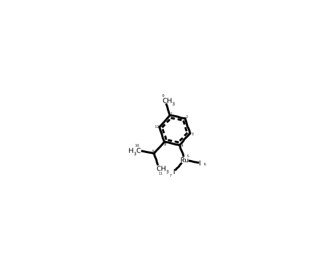 Cc1cc[c]([Ru]([I])[I])c(C(C)C)c1